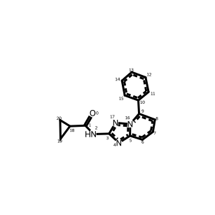 O=C(Nc1nc2cccc(-c3ccccc3)n2n1)C1CC1